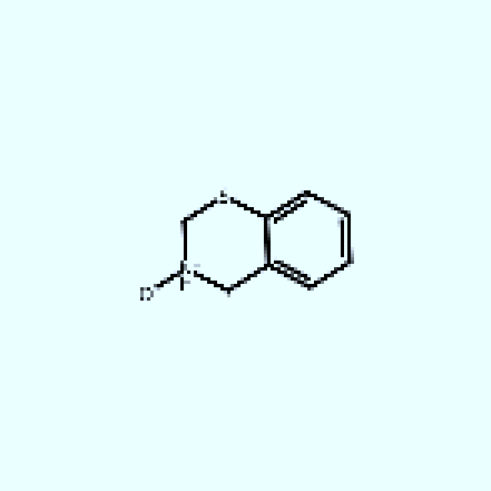 [O-][NH+]1[CH]c2ccccc2SC1